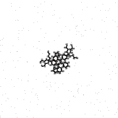 CCCC[Si](CCCC)(CCCC)c1ccc(P(c2cccc3ccoc23)N(c2ccccc2)P(c2ccc([Si](CCCC)(CCCC)CCCC)cc2)c2cccc3ccoc23)cc1